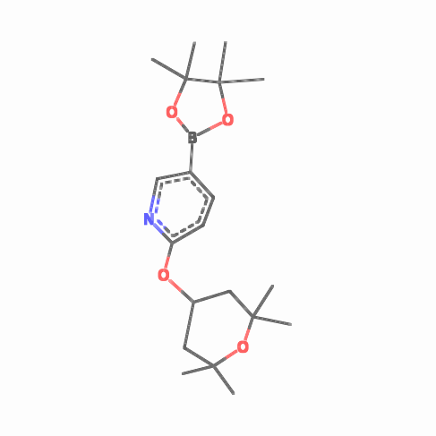 CC1(C)CC(Oc2ccc(B3OC(C)(C)C(C)(C)O3)cn2)CC(C)(C)O1